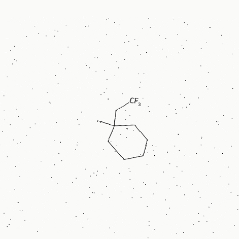 CC1(CC(F)(F)F)CCCCC1